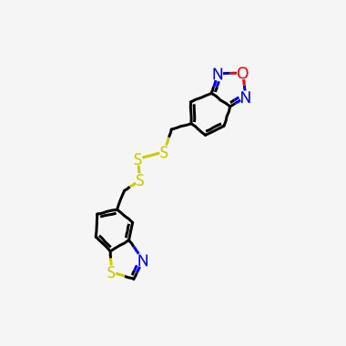 c1nc2cc(CSSSCc3ccc4nonc4c3)ccc2s1